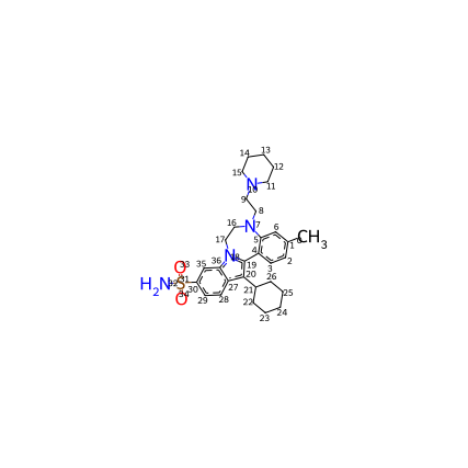 Cc1ccc2c(c1)N(CCN1CCCCC1)CCn1c-2c(C2CCCCC2)c2ccc(S(N)(=O)=O)cc21